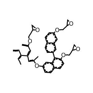 C=CC(=C/C)/C(=C\C(=C)OCC1CO1)/C=C(\C)Oc1ccc2ccc(OCC3CO3)c(-c3ccc4ccc(OCC5CO5)cc4c3)c2c1